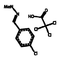 CNN=Cc1ccc(Cl)cc1.O=C(O)C(Cl)(Cl)Cl